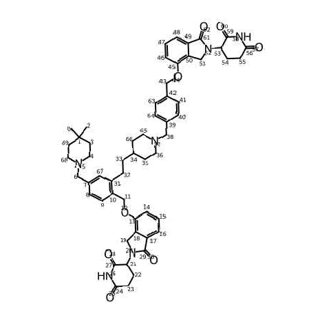 CC1(C)CCN(Cc2ccc(COc3cccc4c3CN(C3CCC(=O)NC3=O)C4=O)c(CCC3CCN(Cc4ccc(COc5cccc6c5CN(C5CCC(=O)NC5=O)C6=O)cc4)CC3)c2)CC1